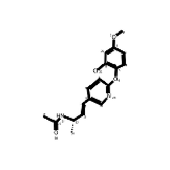 COc1ccc(Oc2ccc(/C=C/[C@H](C)NC(C)=O)cn2)c(Cl)c1